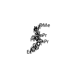 CCCOc1ccc(S(=O)(=O)N2CCN(CC)CC2)cc1-c1nc2c(CCC)n(Cc3ncnn3CCOC)nc2c(=O)[nH]1